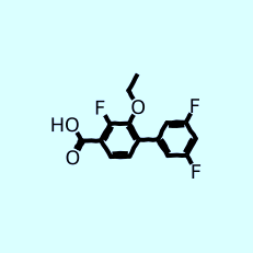 CCOc1c(-c2cc(F)cc(F)c2)ccc(C(=O)O)c1F